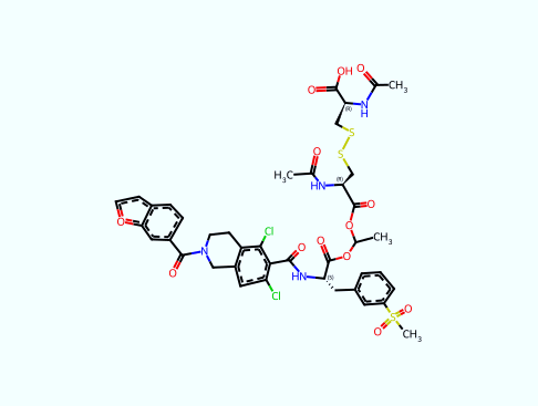 CC(=O)N[C@@H](CSSC[C@H](NC(C)=O)C(=O)OC(C)OC(=O)[C@H](Cc1cccc(S(C)(=O)=O)c1)NC(=O)c1c(Cl)cc2c(c1Cl)CCN(C(=O)c1ccc3ccoc3c1)C2)C(=O)O